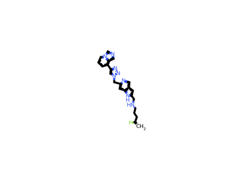 C=C(F)CCCNCc1cc2cnc(Cn3cc(-c4cccn5cncc45)nn3)cc2[nH]1